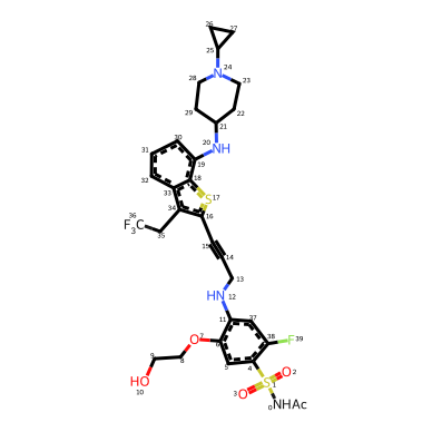 CC(=O)NS(=O)(=O)c1cc(OCCO)c(NCC#Cc2sc3c(NC4CCN(C5CC5)CC4)cccc3c2CC(F)(F)F)cc1F